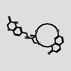 O=C1COc2ccc(CNC3C[N@]4CCn5c(=O)ccc6ccc(cc65)OCCCCCO[C@@H]3C4)nc2N1